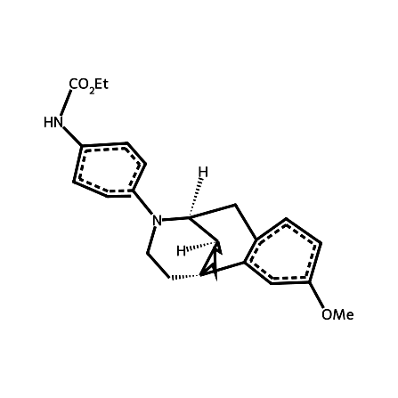 CCOC(=O)Nc1ccc(N2CC[C@@]34CCCC[C@@H]3[C@@H]2Cc2ccc(OC)cc24)cc1